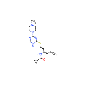 C=C/C=C(\C=C\SC1N=C(N2CCN(C)CC2)N=CN1)NC(=O)C1CC1